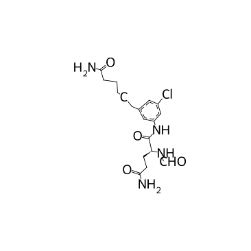 NC(=O)CCCCCc1cc(Cl)cc(NC(=O)[C@H](CCC(N)=O)NC=O)c1